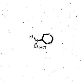 CCN(CC)C1CCCCC1.Cl